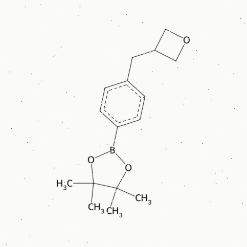 CC1(C)OB(c2ccc(CC3COC3)cc2)OC1(C)C